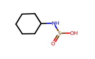 O=S(O)NC1CCCCC1